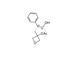 CC(=O)OC1(C[C@H](c2ccccc2)[C@@H](C)O)COC1